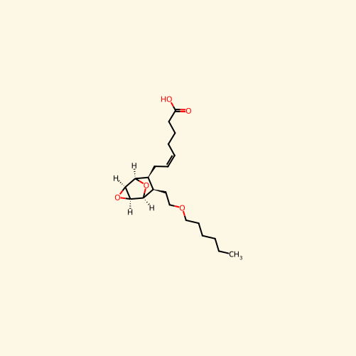 CCCCCCOCC[C@@H]1[C@H](C/C=C\CCCC(=O)O)[C@H]2O[C@@H]1[C@H]1O[C@H]12